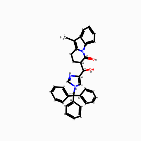 Cc1c2n(c3ccccc13)C(=O)C(C(O)c1cn(C(c3ccccc3)(c3ccccc3)c3ccccc3)cn1)CC2